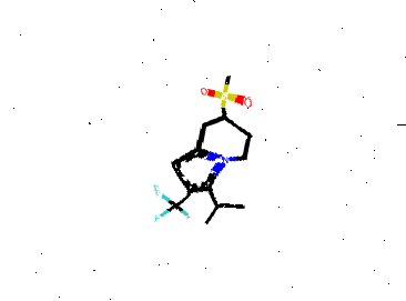 CC(C)c1c(C(F)(F)F)cc2n1CCC(S(C)(=O)=O)C2